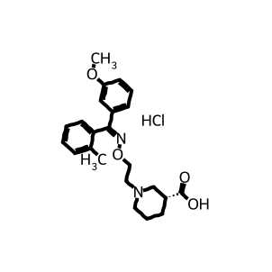 COc1cccc(/C(=N/OCCN2CCC[C@@H](C(=O)O)C2)c2ccccc2C)c1.Cl